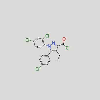 CCc1c(C(=O)Cl)nn(-c2ccc(Cl)cc2Cl)c1-c1ccc(Cl)cc1